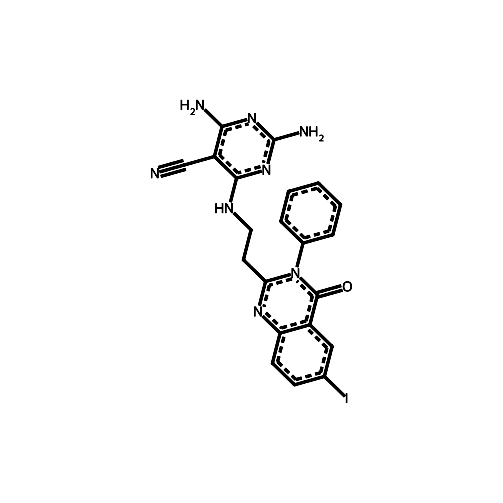 N#Cc1c(N)nc(N)nc1NCCc1nc2ccc(I)cc2c(=O)n1-c1ccccc1